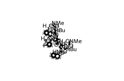 CN[C@@H](C)C(=O)N[C@H](C(=O)N1C[C@@H](NC(=O)C2(CN(C(=O)[C@@H]3Cc4ccccc4CN3C(=O)[C@@H](NC(=O)[C@H](C)NC)C(C)(C)C)[C@H](C)c3cccc(F)c3F)CC2)C[C@H]1C(=O)N[C@@H]1CCCc2ccccc21)C(C)(C)C